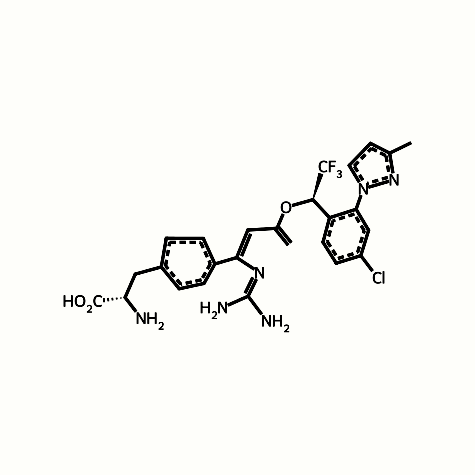 C=C(/C=C(\N=C(N)N)c1ccc(C[C@H](N)C(=O)O)cc1)O[C@H](c1ccc(Cl)cc1-n1ccc(C)n1)C(F)(F)F